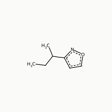 CCC(C)c1c[c]on1